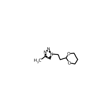 Cc1cn(CCC2OCCCO2)nn1